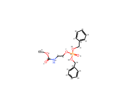 CC(C)(C)OC(=O)NCCOP(=O)(OCc1ccccc1)OCc1ccccc1